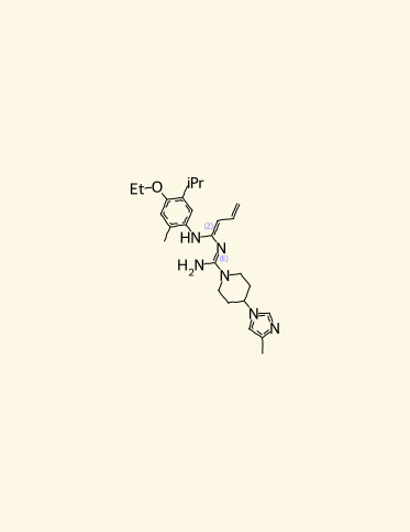 C=C/C=C(\N=C(/N)N1CCC(n2cnc(C)c2)CC1)Nc1cc(C(C)C)c(OCC)cc1C